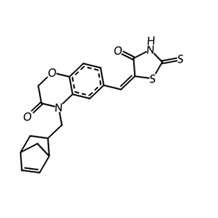 O=C1NC(=S)S/C1=C/c1ccc2c(c1)N(CC1CC3C=CC1C3)C(=O)CO2